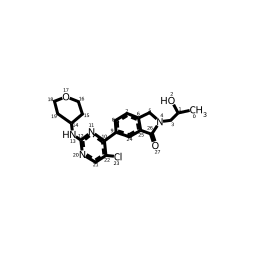 CC(O)CN1Cc2ccc(-c3nc(NC4CCOCC4)ncc3Cl)cc2C1=O